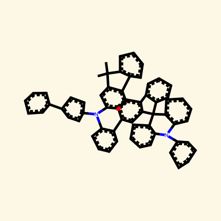 CC1(C)c2ccccc2-c2ccc(N(c3ccc(-c4ccccc4)cc3)c3ccccc3-c3ccc4c(c3)C3(c5ccccc5-4)c4ccccc4N(c4ccccc4)c4ccccc43)cc21